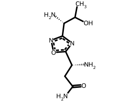 CC(O)[C@@H](N)c1noc([C@H](N)CC(N)=O)n1